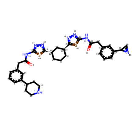 O=C(Cc1cccc(C2CCNCC2)c1)Nc1nnc([C@H]2CCC[C@H](c3nnc(NC(=O)Cc4cccc(C5C=N5)c4)s3)C2)s1